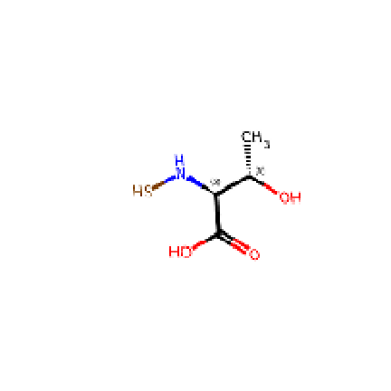 C[C@H](O)[C@H](NS)C(=O)O